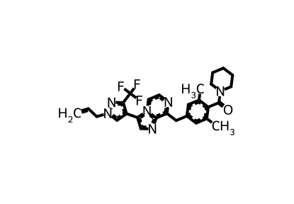 C=CCn1cc(-c2cnc3c(Cc4cc(C)c(C(=O)N5CCCCC5)c(C)c4)nccn23)c(C(F)(F)F)n1